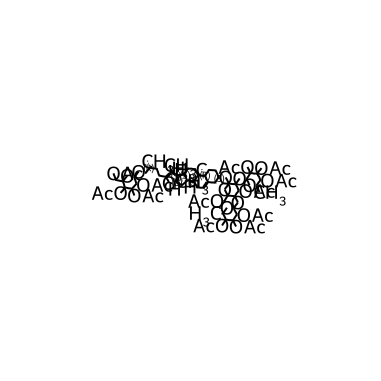 CC(=O)OCC1OC(OC[C@H](C)CCC2=C(C)[C@H]3[C@H](CC4[C@@H]5CC=C6C[C@@H](OC7OC(COC(C)=O)C(OC8OC(C)C(OC(C)=O)C(OC(C)=O)C8OC(C)=O)C(OC(C)=O)C7OC7OC(C)C(OC(C)=O)C(OC(C)=O)C7OC(C)=O)CC[C@]6(C)C5CC[C@@]43C)O2)C(OC(C)=O)C(OC(C)=O)C1OC(C)=O